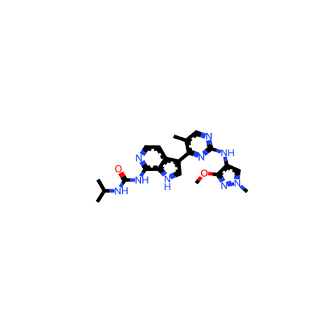 COc1nn(C)cc1Nc1ncc(C)c(-c2c[nH]c3c(NC(=O)NC(C)C)nccc23)n1